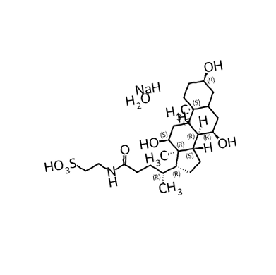 C[C@H](CCC(=O)NCCS(=O)(=O)O)[C@H]1CC[C@H]2[C@@H]3[C@H](O)CC4C[C@H](O)CC[C@]4(C)[C@H]3C[C@H](O)[C@]12C.O.[NaH]